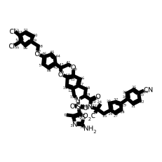 Cc1nc(N)sc1S(=O)(=O)N1Cc2cc3c(cc2CC1C(=O)NC(C)(Cc1ccc(-c2ccc(C#N)cc2)cc1)C(=O)O)OCC(c1ccc(OCc2ccc(Cl)c(Cl)c2)cc1)O3